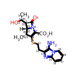 C[C@@H](O)[C@H]1C(=O)N2C(C(=O)O)=C(SCCc3nc4ccccn4c3N)[C@H](C)[C@H]12